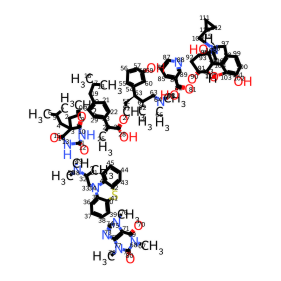 C=CCC1(CC(C)C)C(=O)NC(=O)NC1=O.CC(C)Cc1ccc(C(C)C(=O)O)cc1.CC(CN1c2ccccc2Sc2ccccc21)N(C)C.CC[C@@H](c1cccc(O)c1)[C@@H](C)CN(C)C.Cn1c(=O)c2c(ncn2C)n(C)c1=O.O=C(O)c1cccnc1.O=C1CC[C@@]2(O)[C@H]3Cc4ccc(O)c5c4[C@@]2(CCN3CC2CC2)[C@H]1O5